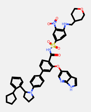 O=C(NS(=O)(=O)c1ccc(NCC2CCOCC2)c([N+](=O)[O-])c1)c1ccc(-c2ccc(N3CCCC3c3ccccc3C3CCCC3)cc2)cc1Oc1cnc2[nH]ccc2c1